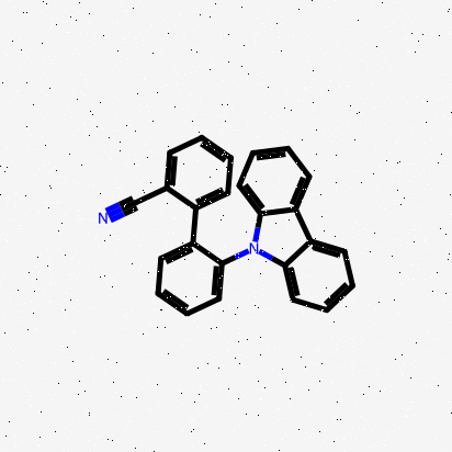 N#Cc1ccccc1-c1ccccc1-n1c2ccccc2c2ccccc21